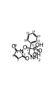 NCC(ON1C(=O)C=CC1=O)(c1ccccc1)P(=O)(O)O